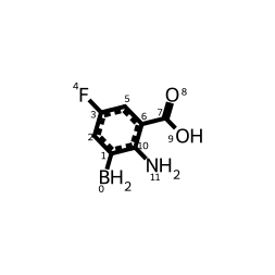 Bc1cc(F)cc(C(=O)O)c1N